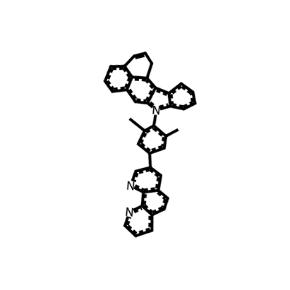 Cc1cc(-c2cnc3c(ccc4cccnc43)c2)cc(C)c1-n1c2ccccc2c2c3c4c(cccc4cc21)C=CC3